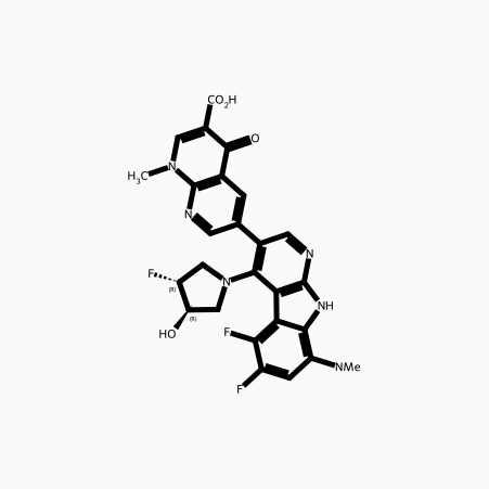 CNc1cc(F)c(F)c2c1[nH]c1ncc(-c3cnc4c(c3)c(=O)c(C(=O)O)cn4C)c(N3C[C@@H](O)[C@H](F)C3)c12